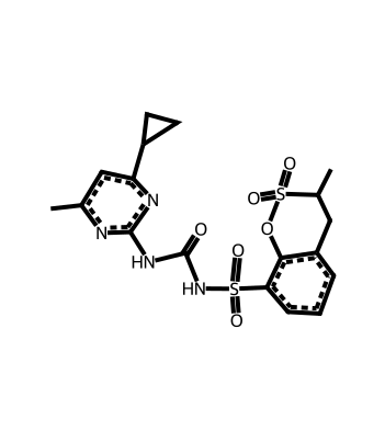 Cc1cc(C2CC2)nc(NC(=O)NS(=O)(=O)c2cccc3c2OS(=O)(=O)C(C)C3)n1